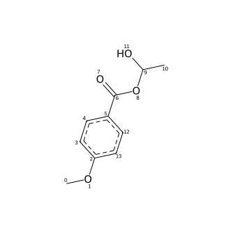 COc1ccc(C(=O)OC(C)O)cc1